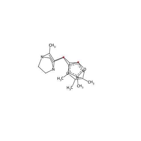 CC1=C(C)OC(CC2=C(C)N3CCN2C(Cc2cnn(C)c2C)C3)CO1